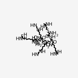 CC(=N)NCCCCC(N)C(=O)N(CCNC(=O)C(N)CSCCNC(C)=N)CCN(CCN(CCNC(=O)C(N)CCCCNCC(=N)F)C(=O)C(N)CCCCNCC=N)C(=O)C(N)CCCCNCC=N